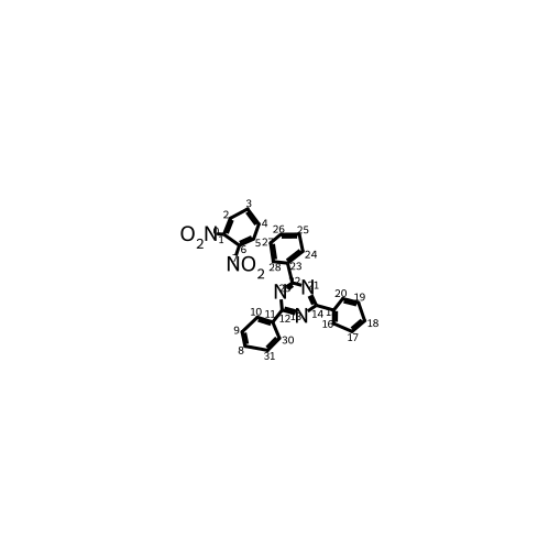 O=[N+]([O-])c1ccccc1[N+](=O)[O-].c1ccc(-c2nc(-c3ccccc3)nc(-c3ccccc3)n2)cc1